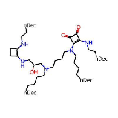 CCCCCCCCCCCCCCN(CCCCN(CCCCCCCCCCCCCC)c1c(NCCCCCCCCCCCC)c(=O)c1=O)CC(O)CNC1=C(NCCCCCCCCCCCC)CC1